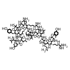 CC[C@H](C)[C@H](NC(=O)[C@@H](NC(=O)[C@@H]1C[C@@H](O)CN1C(=O)[C@@H](N)C(C)C)[C@@H](C)CC)C(=O)N[C@@H](Cc1ccc(O)cc1)C(=O)N[C@H](C(=O)N[C@@H](CC(N)=O)C(=O)N[C@@H](CCCNC(=N)N)C(=O)N[C@@H](CCN)C(=O)N[C@H](C(=O)N[C@H](CCN)C(=O)N[C@H](C(=O)N[C@@H](CS)C(=O)N[C@@H](CCN)C(=O)N[C@@H](CCCNC(=N)N)C(=O)N[C@@H](Cc1ccc(O)cc1)C(=O)O)[C@@H](C)CC)[C@@H](C)O)C(C)(C)S